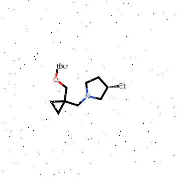 CC[C@@H]1CCN(CC2(COC(C)(C)C)CC2)C1